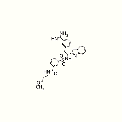 COCCCNC(=O)c1cccc(S(=O)(=O)N[C@@H](Cc2cccc(C(=N)N)c2)C2=Nc3ccccc3C2)c1